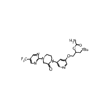 CC(C)(C)CC(COc1cncc(N2CCN(c3ncc(C(F)(F)F)cn3)CC2=O)c1)OC(N)=O